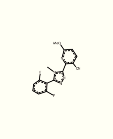 COc1ccc(C#N)c(-c2nnc(-c3c(F)cccc3F)n2C)n1